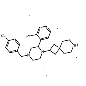 CC(C)c1ccccc1C1CN(Cc2ccc(Cl)cc2)CCN1C1CC2(CCNCC2)C1